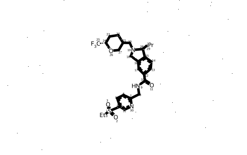 CCS(=O)(=O)c1ccc(CNC(=O)c2ccc3c(c2)CN(CC2CC[C@@H](C(F)(F)F)OC2)C3C(C)C)nc1